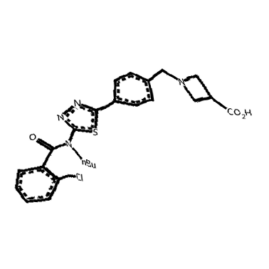 CCCCN(C(=O)c1ccccc1Cl)c1nnc(-c2ccc(CN3CC(C(=O)O)C3)cc2)s1